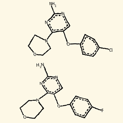 Nc1ncc(Oc2ccc(Cl)cc2)c(N2CCOCC2)n1.Nc1ncc(Oc2ccc(F)cc2)c(N2CCOCC2)n1